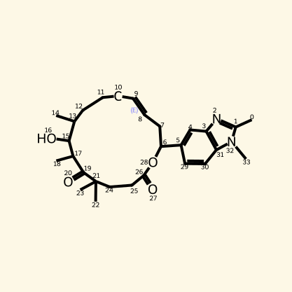 Cc1nc2cc(C3C/C=C/CCCC(C)C(O)C(C)C(=O)C(C)(C)CCC(=O)O3)ccc2n1C